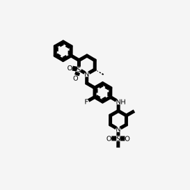 CC1CN(S(C)(=O)=O)CCC1Nc1ccc(CN2[C@@H](C)CCC(c3ccccc3)S2(=O)=O)c(F)c1